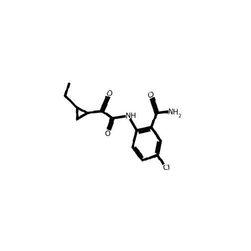 CCC1CC1C(=O)C(=O)Nc1ccc(Cl)cc1C(N)=O